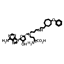 Nc1ncnc2c1ncn2[C@@H]1O[C@H](CN(CCCNCCC2CCCC(Oc3ccccc3)CC2)CC[C@H](N)C(=O)O)C[C@H]1O